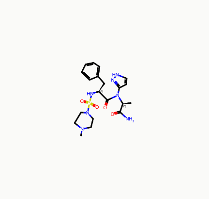 C[C@@H](C(N)=O)N(C(=O)[C@H](Cc1ccccc1)NS(=O)(=O)N1CCN(C)CC1)c1cc[nH]n1